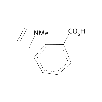 C=C.CNC.O=C(O)c1ccccc1